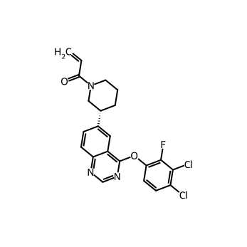 C=CC(=O)N1CCC[C@H](c2ccc3ncnc(Oc4ccc(Cl)c(Cl)c4F)c3c2)C1